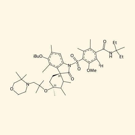 [2H]c1c(OC)c(S(=O)(=O)N2C(=O)[C@@]3(CC[C@](C)(OC(C)(C)CN4CCOCC4(C)C)C(C)C3C)c3c2cc(C)c(OCC(C)C)c3C)c(C)c(C)c1C(=O)NC(C)(CC)CC